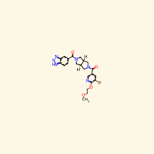 COCCOc1ncc(C(=O)N2C[C@H]3CN(C(=O)c4ccc5[nH]nnc5c4)C[C@@H]3C2)cc1Br